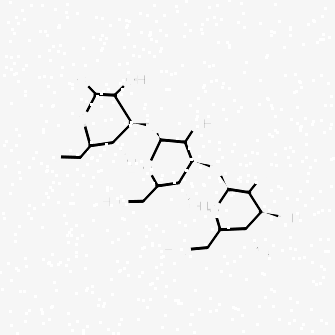 CCC1O[C@@H](O[C@@H]2C(O)[C@H](O[C@@H]3C(O)C(O)OC(CC)[C@H]3O)OC(CC)[C@H]2O)C(O)[C@@H](O)[C@@H]1O